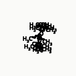 CCCC[Si](CCCC)(COc1cc(C(C)(C)C)c(O)c(C(C)(C)C)c1)COc1cc(C(C)(C)C)c(O)c(C(C)(C)C)c1